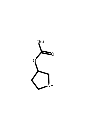 CC(C)(C)C(=O)OC1CCNC1